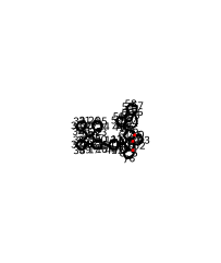 c1ccc(-c2ccccc2N(c2ccc(-c3ccc4c(c3)c(-c3ccccc3)c(-c3ccccc3)c3ccccc34)cc2)c2cccc(-c3cccc4c3oc3ccccc34)c2)cc1